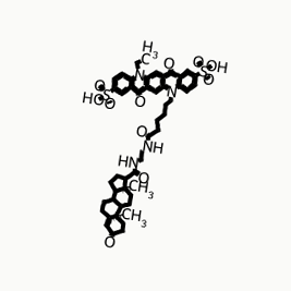 CCn1c2ccc(S(=O)(=O)O)cc2c(=O)c2cc3c(cc21)c(=O)c1cc(S(=O)(=O)O)ccc1n3CCCCCC(=O)NCCNC(=O)C1CCC2C3CCC4=CC(=O)CC[C@]4(C)C3CC[C@]12C